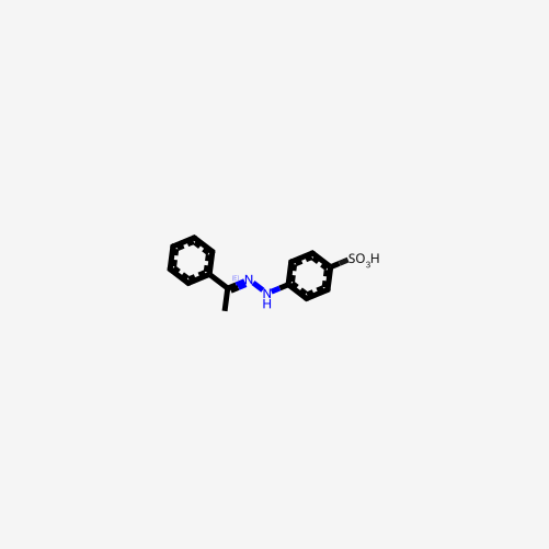 C/C(=N\Nc1ccc(S(=O)(=O)O)cc1)c1ccccc1